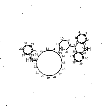 B1c2ccccc2C(C2CCCN(C3CCCCCCCCCC(Nc4ccccc4)CCCC3)C2)c2ccccc21